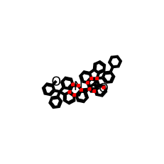 c1ccc(C2(c3ccccc3)c3ccccc3Oc3ccc(N(c4ccc5c(c4)C4(c6cc(C7CCCCC7)ccc6Oc6ccc(C7CCCCC7)cc64)c4ccccc4-5)c4ccccc4-c4cccc5ccccc45)cc32)cc1